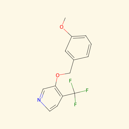 COc1cccc(COc2cnccc2C(F)(F)F)c1